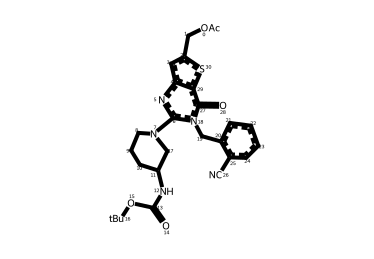 CC(=O)OCc1cc2nc(N3CCCC(NC(=O)OC(C)(C)C)C3)n(Cc3ccccc3C#N)c(=O)c2s1